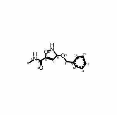 CNC(=O)C1=CC(OCc2ccccc2)NO1